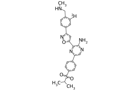 [2H]c1cc(-c2cc(-c3nc(-c4ccc(S(=O)(=O)C(C)C)cc4)cnc3N)on2)ccc1CNC